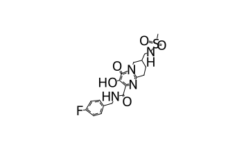 CS(=O)(=O)NCC1CCc2nc(C(=O)NCc3ccc(F)cc3)c(O)c(=O)n2C1